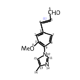 COc1cc(/C=C/C=O)ccc1-n1cnc(C)c1